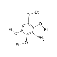 CCOc1cc(OCC)c(OCC)c(P)c1OCC